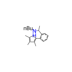 CCCCNC(C)c1ccccc1C1=C(C)C(C)=C(C)C1